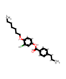 CCCCCCCOc1ccc(OC(=O)c2ccc(CCC)cc2)cc1F